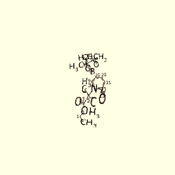 CCOC(=O)C(C)(C)n1cc(B2OC(C)(C)C(C)(C)O2)ccc1=O